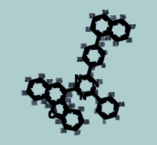 c1ccc(-c2nc(-c3ccc(-c4cccc5ccccc45)cc3)nc(-c3cc4ccccc4c4oc5ccccc5c34)n2)cc1